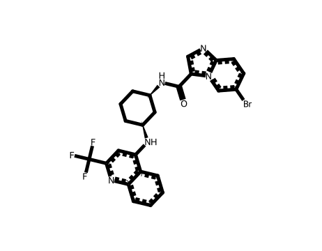 O=C(N[C@@H]1CCC[C@H](Nc2cc(C(F)(F)F)nc3ccccc23)C1)c1cnc2ccc(Br)cn12